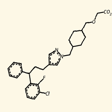 O=C(O)COCC1CCC(Cn2cc(CCC(c3ccccc3)c3cccc(Cl)c3F)cn2)CC1